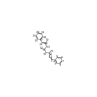 CC(=C=Cc1ccccc1)CC(C)CC(C)=Cc1ccccc1